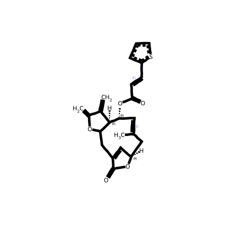 C=C1OC2CC3=C[C@@H](C/C(C)=C/[C@@H](OC(=O)/C=C/c4cccs4)[C@@H]2C1=C)OC3=O